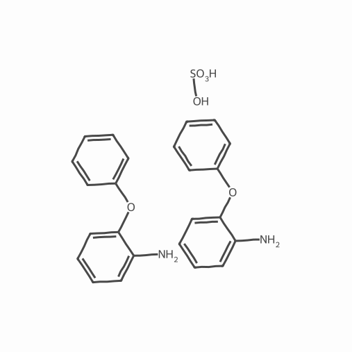 Nc1ccccc1Oc1ccccc1.Nc1ccccc1Oc1ccccc1.O=S(=O)(O)O